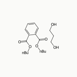 CCCCOC(=O)c1ccccc1C(=O)OCCCC.OCCCO